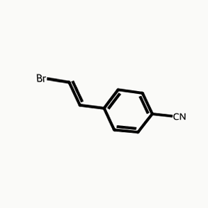 N#Cc1ccc(C=CBr)cc1